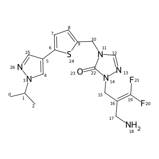 CC(C)n1cc(-c2ccc(Cn3cnn(CC(CN)=C(F)F)c3=O)s2)cn1